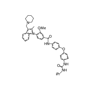 COc1cc(C(=O)Nc2ccc(Oc3ccc(NC(=O)NC(C)C)cc3)cc2)ccc1-n1c(C)c(CN2CCCCC2)c2ccccc21